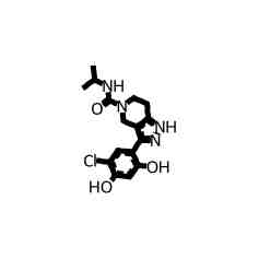 CC(C)NC(=O)N1CCc2[nH]nc(-c3cc(Cl)c(O)cc3O)c2C1